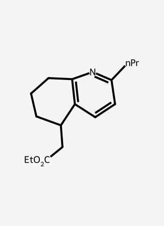 CCCc1ccc2c(n1)CCCC2CC(=O)OCC